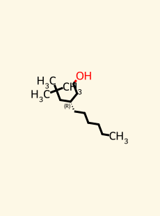 CCCCCC[C@@H](CCO)CC(C)(C)C